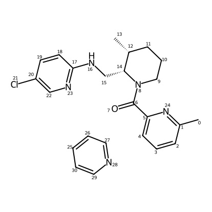 Cc1cccc(C(=O)N2CCC[C@@H](C)[C@H]2CNc2ccc(Cl)cn2)n1.c1ccncc1